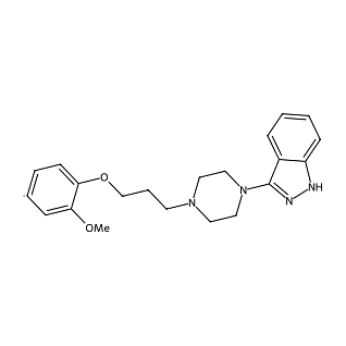 COc1c[c]ccc1OCCCN1CCN(c2n[nH]c3ccccc23)CC1